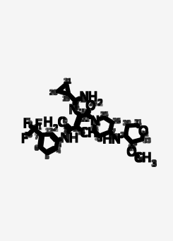 C=C(Nc1cccc(C(F)(F)F)c1)/C(C)=C(\N=C(/N)C1CC1)C(=O)N1CCC(N[C@@H]2CCOC[C@@H]2OC)CC1